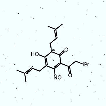 CC(C)=CCC1=C(O)[C@@H](CC=C(C)C)C(=O)C(C(=O)CC(C)C)=C1N=O